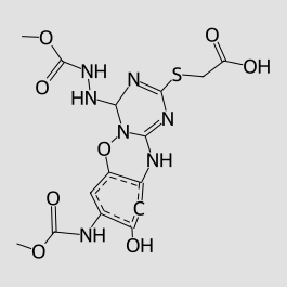 COC(=O)NNC1N=C(SCC(=O)O)N=C2Nc3cc(O)c(NC(=O)OC)cc3ON21